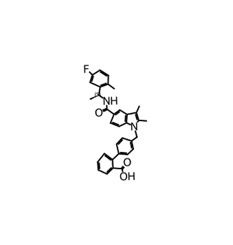 Cc1ccc(F)cc1[C@H](C)NC(=O)c1ccc2c(c1)c(C)c(C)n2Cc1ccc(-c2ccccc2C(=O)O)cc1